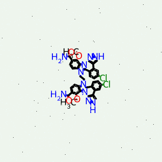 COc1c(C(N)=O)ccc2c1nc(-c1ccc(Cl)cc1-c1cn[nH]c1)n2CCn1c(-c2ccc(Cl)cc2-c2cn[nH]c2)nc2c(OC)c(C(N)=O)ccc21